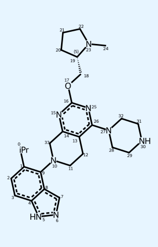 CC(C)c1ccc2[nH]ncc2c1N1CCc2c(nc(OC[C@@H]3CCCN3C)nc2N2CCNCC2)C1